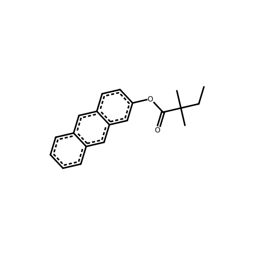 CCC(C)(C)C(=O)Oc1ccc2cc3ccccc3cc2c1